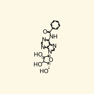 O=C(Nc1ncnc2c1ncn2[C@@H]1O[C@H](CO)C(O)[C@@H]1O)c1ccccc1